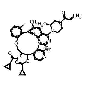 C=CC(=O)N1CCN(c2nc(=O)n3c4nc(c(C)cc24)-c2c(F)cccc2OCC(OC(=O)C2CC2)C(OC(=O)C2CC2)c2ccnc(C(C)C)c2-3)[C@@H](C)C1